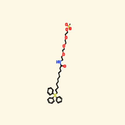 CS(=O)(=O)OCCOCCOCCOCCNC(=O)CCCCCCCCCCS(c1ccccc1)(c1ccccc1)c1ccccc1